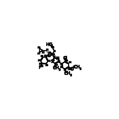 C#CCN(c1nc(-c2cc(C)c(OC)cc2Cl)c(C)s1)[C@@H](CC1CC1)c1ccc(F)cc1